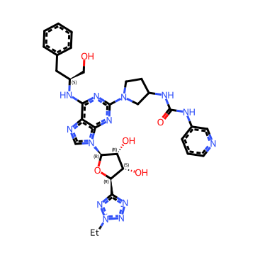 CCn1nnc([C@H]2O[C@@H](n3cnc4c(N[C@H](CO)Cc5ccccc5)nc(N5CCC(NC(=O)Nc6cccnc6)C5)nc43)[C@H](O)[C@@H]2O)n1